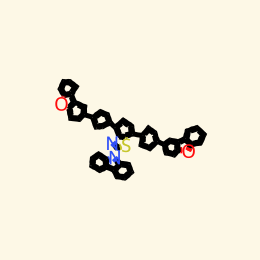 c1ccc2c(c1)oc1ccc(-c3ccc(-c4ccc(-c5ccc(-c6ccc7oc8ccccc8c7c6)cc5)c5sc(-n6c7ccccc7c7ccccc76)nc45)cc3)cc12